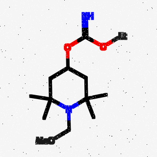 CCOC(=N)OC1CC(C)(C)N(COC)C(C)(C)C1